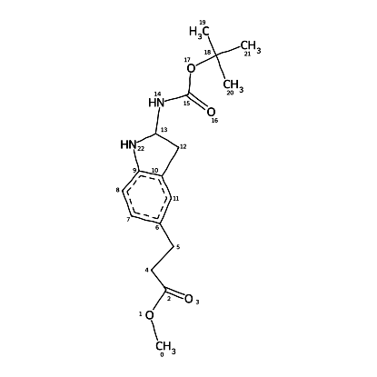 COC(=O)CCc1ccc2c(c1)CC(NC(=O)OC(C)(C)C)N2